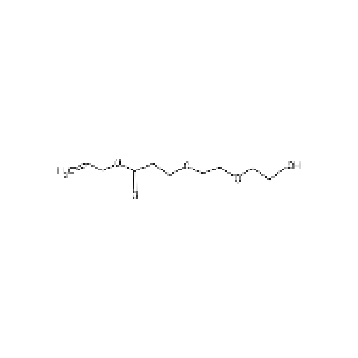 C=CCOC(=O)CCOCCOCCO